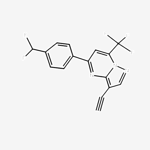 C#Cc1cnn2c(C(F)(F)F)cc(-c3ccc(C(F)F)cc3)nc12